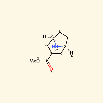 COC(=O)C1C[C@H]2CC[C@@H](C1)N2